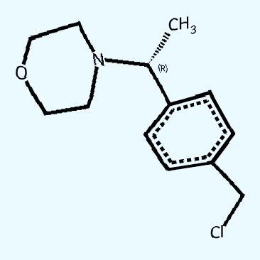 C[C@H](c1ccc(CCl)cc1)N1CCOCC1